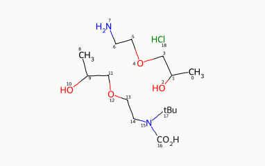 CC(O)COCCN.CC(O)COCCN(C(=O)O)C(C)(C)C.Cl